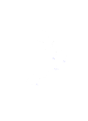 c1ccc(CCNc2nccc(-c3cc4ccccc4s3)n2)nc1